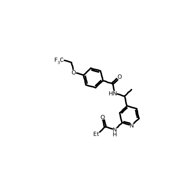 CCC(=O)Nc1cc(C(C)NC(=O)c2ccc(OCC(F)(F)F)cc2)ccn1